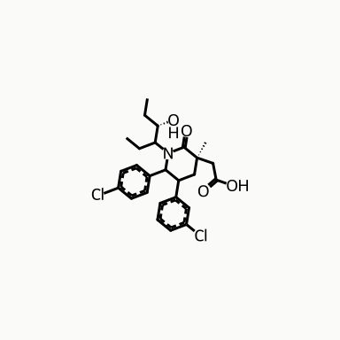 CCC([C@@H](O)CC)N1C(=O)[C@@](C)(CC(=O)O)CC(c2cccc(Cl)c2)C1c1ccc(Cl)cc1